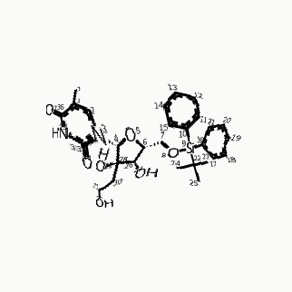 Cc1cn([C@@H]2O[C@H](CO[Si](c3ccccc3)(c3ccccc3)C(C)(C)C)[C@@H](O)[C@]2(O)CCO)c(=O)[nH]c1=O